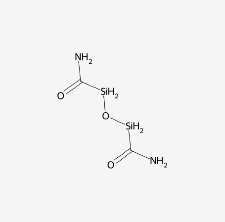 NC(=O)[SiH2]O[SiH2]C(N)=O